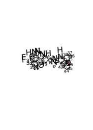 Cc1c2c(nn1CC1(C)CC(=O)C3=C(C1)Nc1n[nH]c(C(F)(F)F)c1C3c1cnccc1C(F)(F)F)NC1=C(C(=O)CC(C)(C)C1)C2(C)c1ccccc1